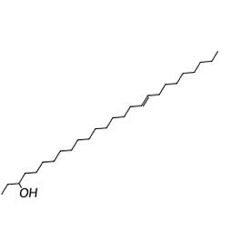 CCCCCCCCC=CCCCCCCCCCCCCCC(O)CC